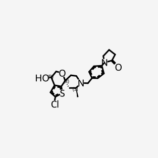 C[C@H]1C[C@@]2(CCN1Cc1ccc(N3CCCC3=O)cc1)OC[C@H](O)c1cc(Cl)sc12